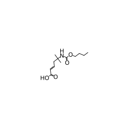 CCCCOC(=O)NC(C)(C)C/C=C/C(=O)O